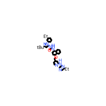 CCc1cccc(-n2nc(C(C)(C)C)cc2NC(=O)Nc2ccc(OCc3ccnc(Nc4cncc(CC)n4)c3)c3ccccc23)c1